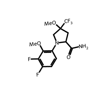 COc1c(N2CC(OC)(C(F)(F)F)CC2C(N)=O)ccc(F)c1F